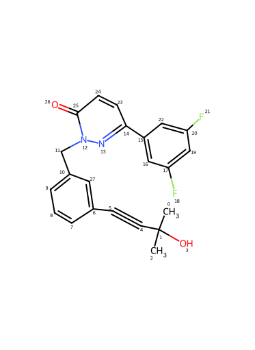 CC(C)(O)C#Cc1cccc(Cn2nc(-c3cc(F)cc(F)c3)ccc2=O)c1